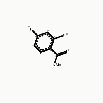 C=C(NC)c1ccc(F)cc1F